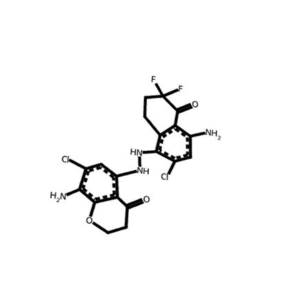 Nc1cc(Cl)c(NNc2cc(Cl)c(N)c3c2C(=O)CCO3)c2c1C(=O)C(F)(F)CC2